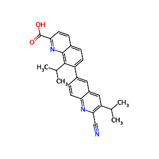 CC(C)c1cc2cc(-c3ccc4ccc(C(=O)O)nc4c3C(C)C)ccc2nc1C#N